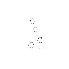 COCC(c1cc(F)cc(F)c1)n1c(COC(C)C)nc(=O)c(S(=O)(=O)c2ccc(-c3ccnc(F)c3C)cc2)c1O